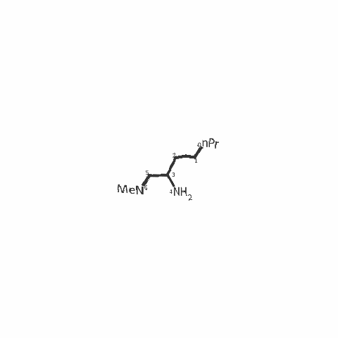 CCCCCC(N)CNC